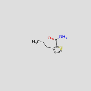 CCCc1ccsc1C(N)=O